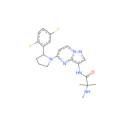 CNC(C)(C)C(=O)Nc1cnn2ccc(N3CCCC3c3cc(F)ccc3F)nc12